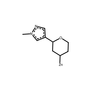 Cn1cc(C2C[CH]([Zn])CCO2)cn1